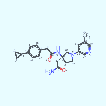 NC(=O)C[C@@]1(NC(=O)Cc2ccc(C3CC3)cc2)CCN(c2cncc(C(F)(F)F)c2)C1